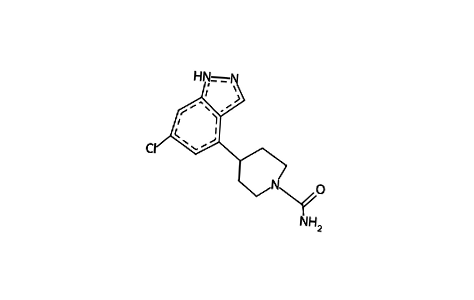 NC(=O)N1CCC(c2cc(Cl)cc3[nH]ncc23)CC1